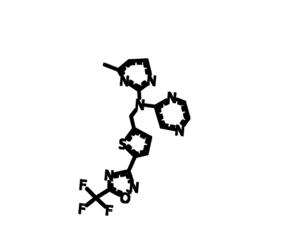 Cc1ccnc(N(Cc2ccc(-c3noc(C(F)(F)F)n3)s2)c2cnccn2)n1